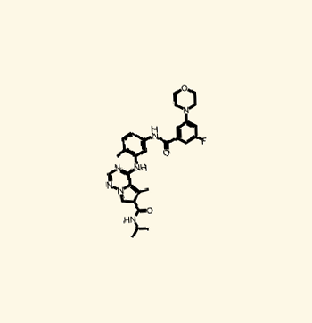 CC1=C2C(Nc3cc(NC(=O)c4cc(F)cc(N5CCOCC5)c4)ccc3C)=NC=NN2CC1C(=O)NC(C)C